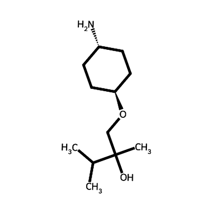 CC(C)C(C)(O)CO[C@H]1CC[C@H](N)CC1